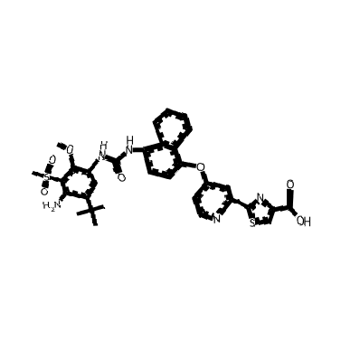 COc1c(NC(=O)Nc2ccc(Oc3ccnc(-c4nc(C(=O)O)cs4)c3)c3ccccc23)cc(C(C)(C)C)c(N)c1S(C)(=O)=O